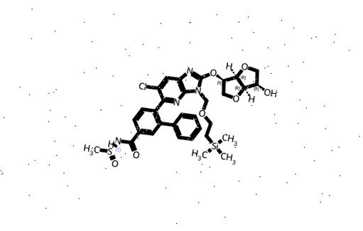 C/[SH](=O)=N/C(=O)c1ccc(-c2nc3c(cc2Cl)nc(O[C@@H]2CO[C@H]4[C@@H]2OC[C@H]4O)n3COCC[Si](C)(C)C)c(-c2ccccc2)c1